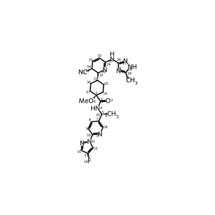 CO[C@]1(C(=O)N[C@@H](C)c2ccc(-n3cc(F)cn3)nc2)CC[C@H](C2N=C(Nc3n[nH]c(C)n3)C=CC2C#N)CC1